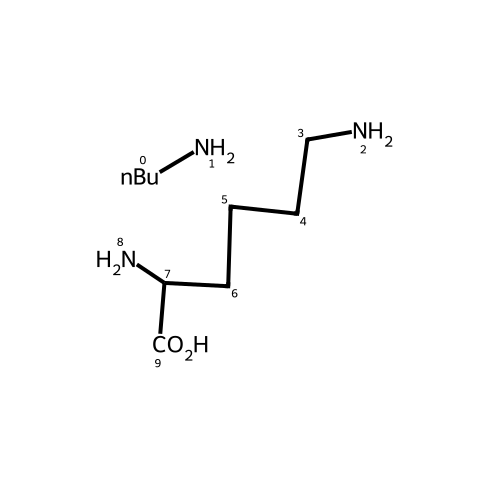 CCCCN.NCCCCC(N)C(=O)O